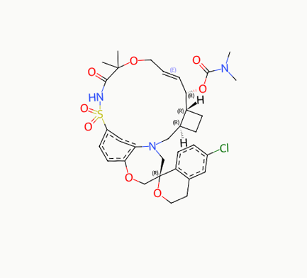 CN(C)C(=O)O[C@H]1/C=C/COC(C)(C)C(=O)NS(=O)(=O)c2ccc3c(c2)N(C[C@@H]2CC[C@H]21)C[C@]1(CO3)OCCc2cc(Cl)ccc21